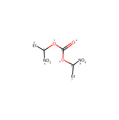 CCC(OC(=O)OC(CC)[N+](=O)[O-])[N+](=O)[O-]